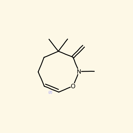 C=C1N(C)O/C=C\CCC1(C)C